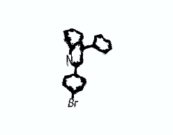 Brc1ccc(-c2cc(-c3ccccc3)c3ccccc3n2)cc1